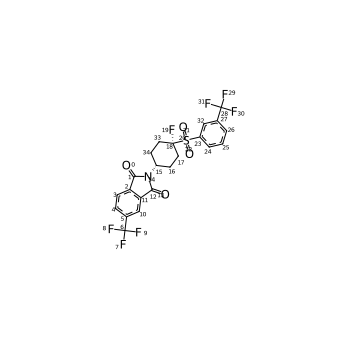 O=C1c2ccc(C(F)(F)F)cc2C(=O)N1[C@H]1CC[C@](F)(S(=O)(=O)c2cccc(C(F)(F)F)c2)CC1